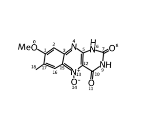 COc1cc2nc3[nH]c(=O)[nH]c(=O)c3[n+]([O-])c2cc1C